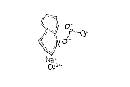 [Cu+2].[Na+].[O-]P([O-])[O-].c1ccc2ncccc2c1